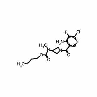 CCCCOC(=O)N(C)C1CN(C(=O)c2cnc(Cl)c(F)c2N)C1